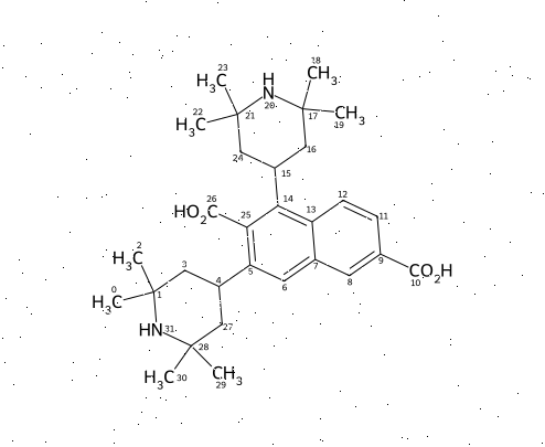 CC1(C)CC(c2cc3cc(C(=O)O)ccc3c(C3CC(C)(C)NC(C)(C)C3)c2C(=O)O)CC(C)(C)N1